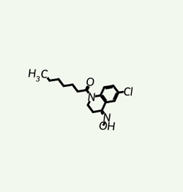 CCCCCCC(=O)N1CCC(=NO)c2cc(Cl)ccc21